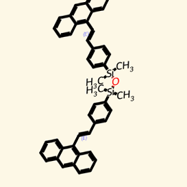 C[Si](C)(O[Si](C)(C)c1ccc(/C=C/c2c3ccccc3cc3ccccc23)cc1)c1ccc(/C=C/c2c3ccccc3cc3ccccc23)cc1